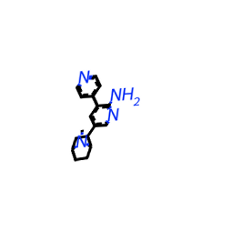 CN1C2CCC1C(c1cnc(N)c(-c3ccncc3)c1)C2